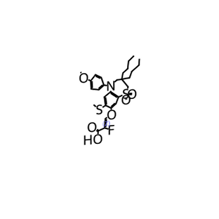 CCCCC1(CCCC)CN(c2ccc(OC)cc2)c2cc(SC)c(O/C=C(\F)C(=O)O)cc2S(=O)(=O)C1